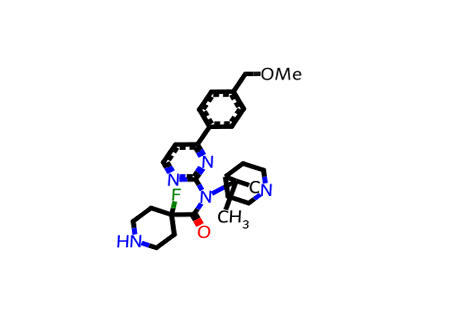 COCc1ccc(-c2ccnc(N(C(=O)C3(F)CCNCC3)C3(C)CN4CCC3CC4)n2)cc1